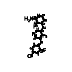 Cc1c(Cc2ccc(Cl)cc2F)cncc1Cc1ccnc(N)c1F